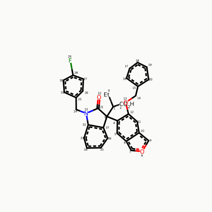 CCC(C(=O)O)C1(c2cc3cocc3cc2OCc2ccccc2)C(=O)N(Cc2ccc(F)cc2)c2ccccc21